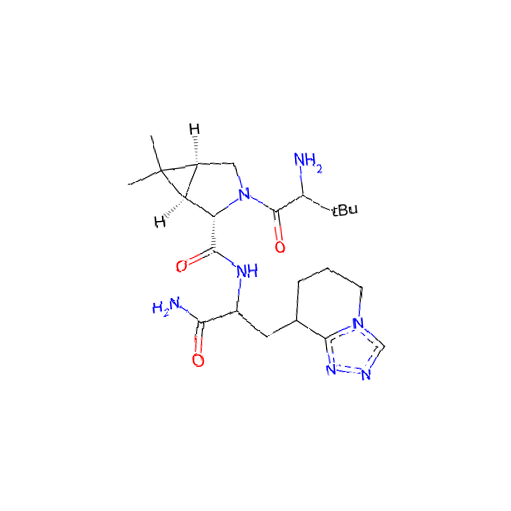 CC(C)(C)C(N)C(=O)N1C[C@H]2[C@@H]([C@H]1C(=O)NC(CC1CCCn3cnnc31)C(N)=O)C2(C)C